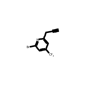 C#CCc1cc(C(F)(F)F)cc(Br)n1